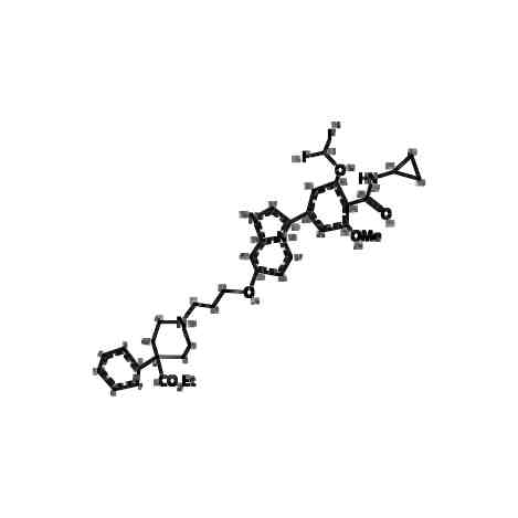 CCOC(=O)C1(c2ccccc2)CCN(CCCOc2ccn3c(-c4cc(OC)c(C(=O)NC5CC5)c(OC(F)F)c4)cnc3c2)CC1